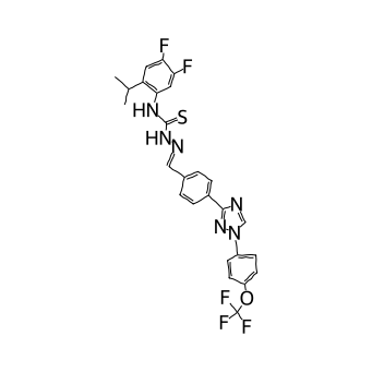 CC(C)c1cc(F)c(F)cc1NC(=S)N/N=C/c1ccc(-c2ncn(-c3ccc(OC(F)(F)F)cc3)n2)cc1